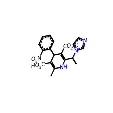 CCOC(=O)C1=C(C(C)n2ccnc2)NC(C)=C(C(=O)O)C1c1ccccc1[N+](=O)[O-]